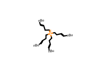 CCCCC=CCC[PH](CCC=CCCCC)(CCC=CCCCC)CCC=CCCCC